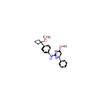 CC(C)Oc1cc(-c2ccccc2)nc(Nc2ccc(C3(OC=O)CCC3)cc2)n1